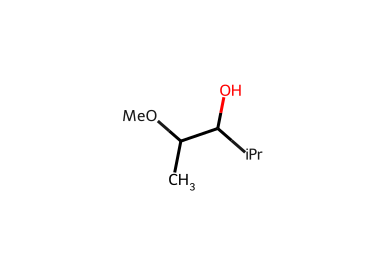 COC(C)C(O)C(C)C